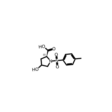 Cc1ccc(S(=O)(=O)N2CC(O)C[C@H]2C(=O)O)cc1